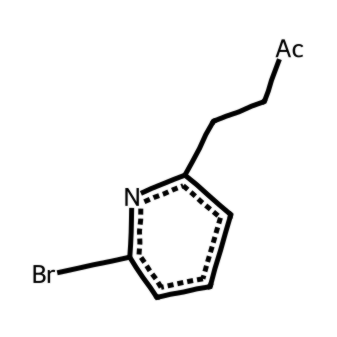 CC(=O)CCc1cccc(Br)n1